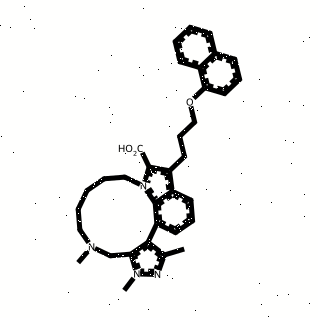 Cc1nn(C)c2c1-c1cccc3c(CCCOc4cccc5ccccc45)c(C(=O)O)n(c13)CCCCCN(C)C2